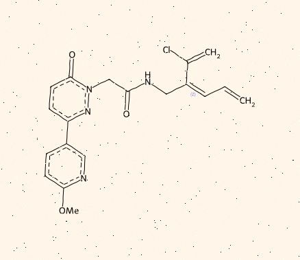 C=C/C=C(/CNC(=O)Cn1nc(-c2ccc(OC)nc2)ccc1=O)C(=C)Cl